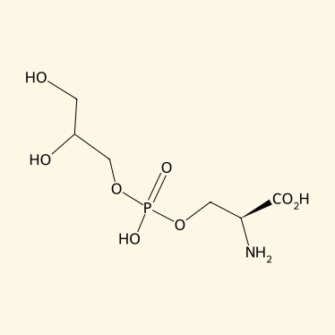 N[C@@H](COP(=O)(O)OCC(O)CO)C(=O)O